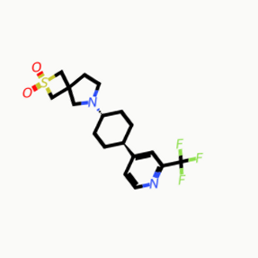 O=S1(=O)CC2(CCN([C@H]3CC[C@H](c4ccnc(C(F)(F)F)c4)CC3)C2)C1